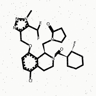 Cn1nnc(COc2ccc(Cl)c3c2[C@@H](CN2CCCC2=O)N(C(=O)[C@@H]2CCCC[C@H]2F)CC3)c1C(F)F